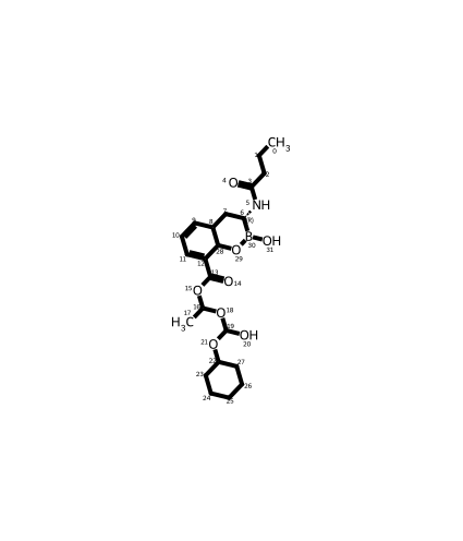 CCCC(=O)N[C@H]1CC2C=CC=C(C(=O)OC(C)OC(O)OC3CCCCC3)C2OB1O